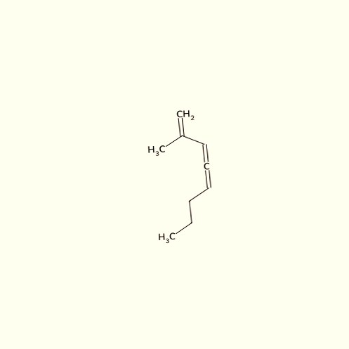 C=C(C)C=C=CCCC